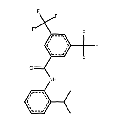 CC(C)c1ccccc1NC(=O)c1cc(C(F)(F)F)cc(C(F)(F)F)c1